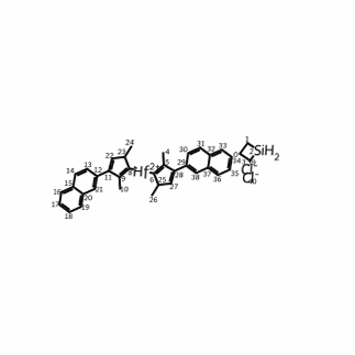 C1C[SiH2]C1.CC1=[C]([Hf+2][C]2=C(C)C(c3ccc4ccccc4c3)=CC2C)C(C)C=C1c1ccc2ccccc2c1.[Cl-].[Cl-]